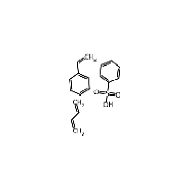 C=CC=C.C=Cc1ccccc1.O=S(=O)(O)c1ccccc1